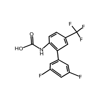 O=C(O)Nc1ccc(C(F)(F)F)cc1-c1cc(F)cc(F)c1